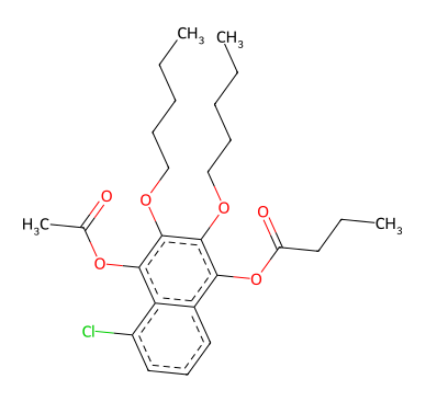 CCCCCOc1c(OCCCCC)c(OC(C)=O)c2c(Cl)cccc2c1OC(=O)CCC